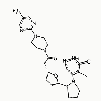 Cc1c(N2CCC[C@H]2[C@H]2CC[C@H](CC(=O)N3CCN(c4ncc(C(F)(F)F)cn4)CC3)O2)cn[nH]c1=O